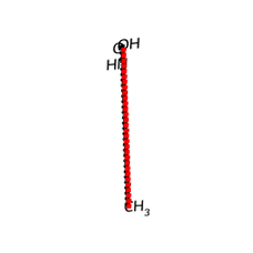 CCCCCCCCCCCCCCCCCCCCCCCCCCCCCCCCCCCCCCCCCCCCCCCCCCCCCNCCCCCC(=O)O